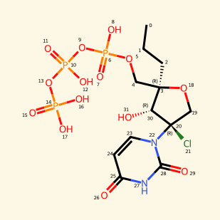 CCC[C@]1(COP(=O)(O)OP(=O)(O)OP(=O)(O)O)OC[C@](Cl)(n2ccc(=O)[nH]c2=O)[C@@H]1O